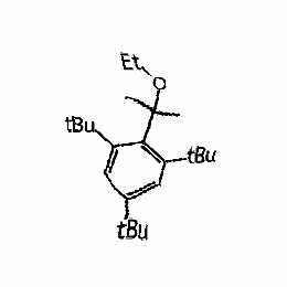 CCOC(C)(C)c1c(C(C)(C)C)cc(C(C)(C)C)cc1C(C)(C)C